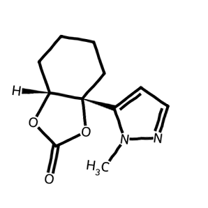 Cn1nccc1[C@]12CCCC[C@H]1OC(=O)O2